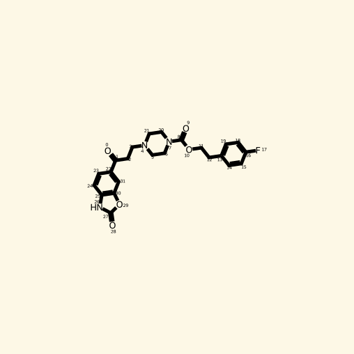 O=C(CCN1CCN(C(=O)OCCc2ccc(F)cc2)CC1)c1ccc2[nH]c(=O)oc2c1